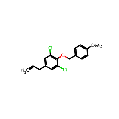 C=CCc1cc(Cl)c(OCc2ccc(OC)cc2)c(Cl)c1